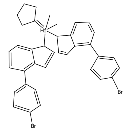 [CH3][Hf]([CH3])(=[C]1CCCC1)([CH]1C=Cc2c(-c3ccc(Br)cc3)cccc21)[CH]1C=Cc2c(-c3ccc(Br)cc3)cccc21